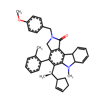 COc1ccc(CN2Cc3c(c4c(c([C@H](C)C5C=CCC5)c3-c3ccccc3C)N(C)C3C=CC=CC43)C2=O)cc1